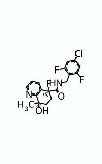 C[C@]1(O)CC[C@@](F)(C(=O)NCc2c(F)cc(Cl)cc2F)c2cccnc21